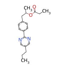 CCCc1cnc(-c2ccc(CC(C)OC(=O)CC)cc2)nc1